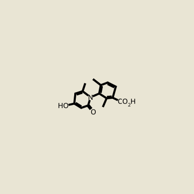 Cc1ccc(C(=O)O)c(C)c1-n1c(C)cc(O)cc1=O